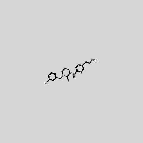 O=C(O)C=Cc1cnc(N[C@@H]2CCCN(Cc3cccc(Cl)c3)C2I)cn1